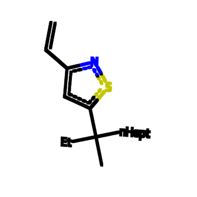 C=Cc1cc(C(C)(CC)CCCCCCC)sn1